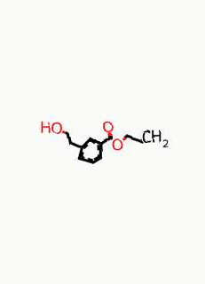 C=CCOC(=O)c1cccc(CCO)c1